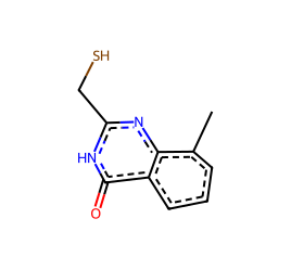 Cc1cccc2c(=O)[nH]c(CS)nc12